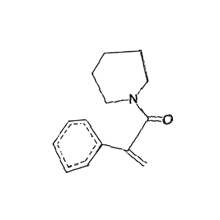 C=C(C(=O)N1CCCCC1)c1ccccc1